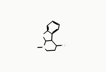 CN1CCC(N)C2c3ccccc3SC21